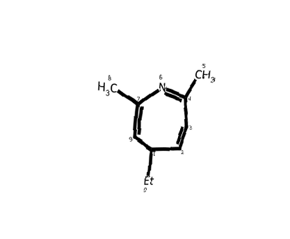 CCC1C=CC(C)=NC(C)=C1